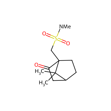 CNS(=O)(=O)CC12CCC(CC1=O)C2(C)C